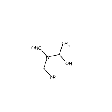 CCCCN([C]=O)C(C)O